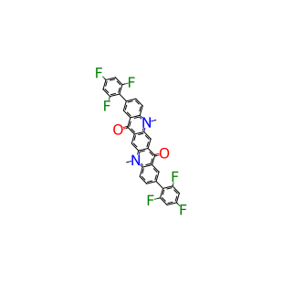 Cn1c2ccc(-c3c(F)cc(F)cc3F)cc2c(=O)c2cc3c(cc21)c(=O)c1cc(-c2c(F)cc(F)cc2F)ccc1n3C